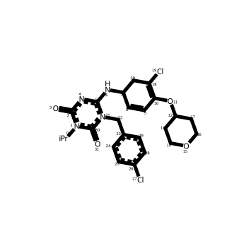 CC(C)n1c(=O)nc(NC2C=CC(OC3CCOCC3)=C(Cl)C2)n(Cc2ccc(Cl)cc2)c1=O